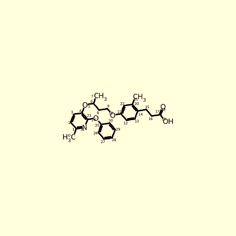 Cc1ccc(OC(C)CCOc2ccc(CCC(=O)O)c(C)c2)c(Oc2ccccc2)n1